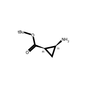 CC(C)(C)OC(=O)[C@@H]1C[C@@H]1N